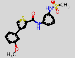 COc1cccc(-c2csc(C(=O)Nc3cccc(NS(C)(=O)=O)c3)c2)c1